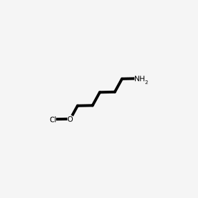 NCCCCCOCl